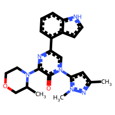 Cc1cc(-n2cc(-c3cccc4[nH]ccc34)nc(N3CCOCC3C)c2=O)n(C)n1